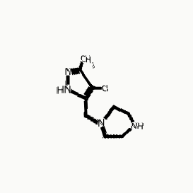 Cc1n[nH]c(CN2CCNCC2)c1Cl